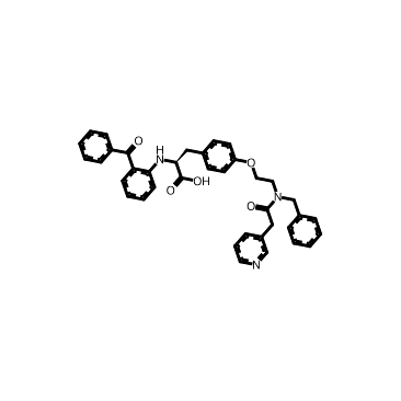 O=C(c1ccccc1)c1ccccc1N[C@@H](Cc1ccc(OCCN(Cc2ccccc2)C(=O)Cc2cccnc2)cc1)C(=O)O